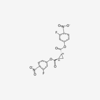 O=C(Oc1ccc([N+](=O)[O-])c(F)c1)[C@@H]1C[C@H]1C(=O)Oc1ccc([N+](=O)[O-])c(F)c1